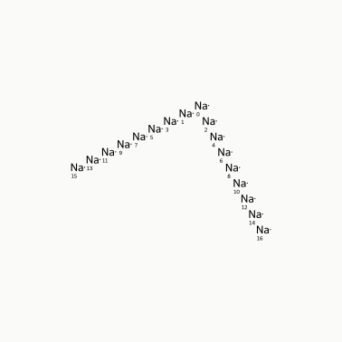 [Na].[Na].[Na].[Na].[Na].[Na].[Na].[Na].[Na].[Na].[Na].[Na].[Na].[Na].[Na].[Na].[Na]